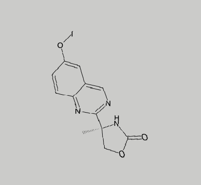 C[C@@]1(c2ncc3cc(OI)ccc3n2)COC(=O)N1